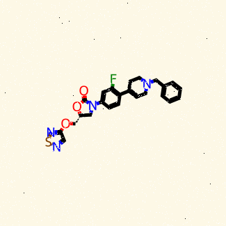 O=C1O[C@@H](COc2cnsn2)CN1c1ccc(C2=CCN(Cc3ccccc3)CC2)c(F)c1